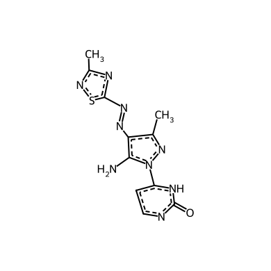 Cc1nsc(/N=N/c2c(C)nn(-c3ccnc(=O)[nH]3)c2N)n1